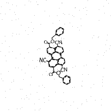 N#Cc1ccc2c3ccc(C#N)c4c(C(=O)OCc5ccccc5)cc(C#N)c(c5ccc(C(=O)OCc6ccccc6)c1c25)c43